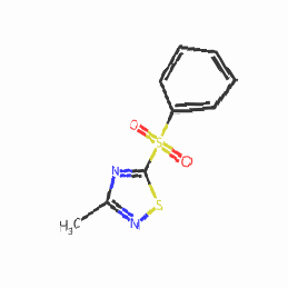 Cc1nsc(S(=O)(=O)c2ccccc2)n1